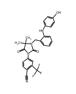 CC1(C)C(=O)N(c2ccc(C#N)c(C(F)(F)F)c2)C(=O)N1Cc1ccccc1Nc1ccc(O)cc1